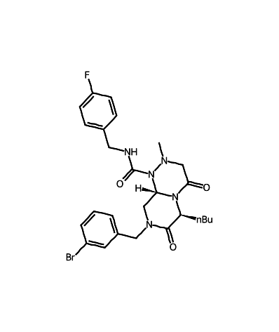 CCCC[C@H]1C(=O)N(Cc2cccc(Br)c2)C[C@H]2N1C(=O)CN(C)N2C(=O)NCc1ccc(F)cc1